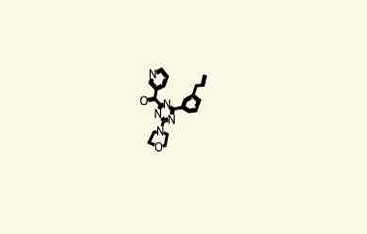 C=CCc1cccc(-c2nc(C(=O)c3cccnc3)nc(N3CCOCC3)n2)c1